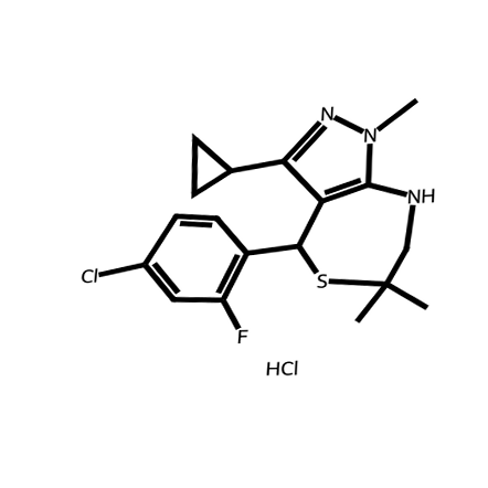 Cl.Cn1nc(C2CC2)c2c1NCC(C)(C)SC2c1ccc(Cl)cc1F